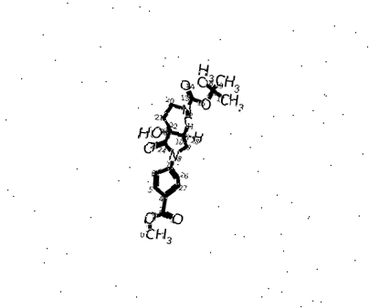 COC(=O)c1ccc(N2C[C@@H]3CN(C(=O)OC(C)(C)C)CC[C@]3(O)C2=O)cc1